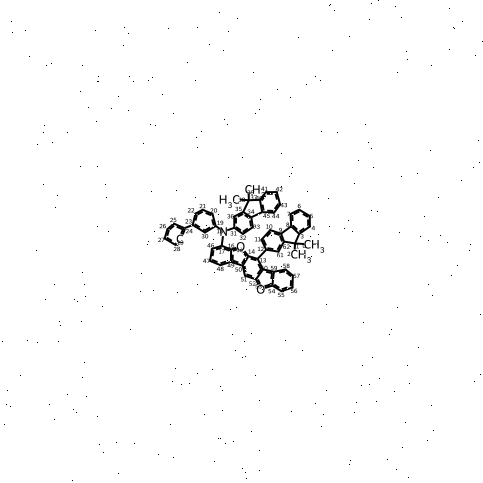 CC1(C)c2ccccc2-c2ccc(-c3c4oc5c(N(c6cccc(-c7ccccc7)c6)c6ccc7c(c6)C(C)(C)c6ccccc6-7)cccc5c4cc4oc5ccccc5c34)cc21